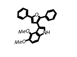 COc1ccc2[nH]cc(-c3cc(-c4ccccc4)oc3-c3ccccc3)c2c1OC